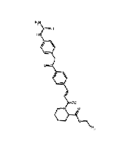 CCOC(=O)C1CCCCN1C(=O)/C=C/c1ccc(C(=O)Oc2ccc(NC(=N)N)cc2)cc1